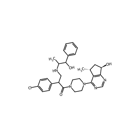 CC(NCC(C(=O)N1CCN(c2ncnc3c2[C@H](C)C[C@H]3O)CC1)c1ccc(Cl)cc1)C(O)c1ccccc1